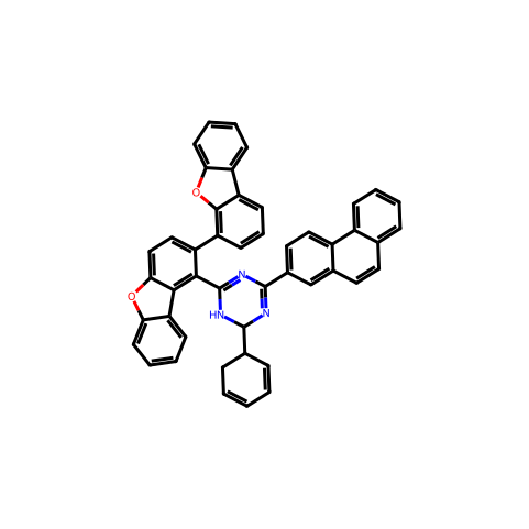 C1=CCC(C2N=C(c3ccc4c(ccc5ccccc54)c3)N=C(c3c(-c4cccc5c4oc4ccccc45)ccc4oc5ccccc5c34)N2)C=C1